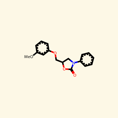 COc1cccc(OCC2CN(c3ccccc3)C(=O)O2)c1